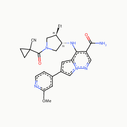 CC[C@@H]1CN(C(=O)C2(C#N)CC2)C[C@H]1Nc1c(C(N)=O)cnn2cc(-c3ccnc(OC)c3)cc12